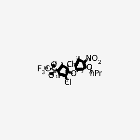 CCCOc1cc(Oc2c(Cl)cc(S(=O)(=O)C(F)(F)F)cc2Cl)ccc1[N+](=O)[O-]